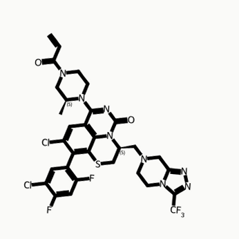 C=CC(=O)N1CCN(c2nc(=O)n3c4c(c(-c5cc(Cl)c(F)cc5F)c(Cl)cc24)SC[C@@H]3CN2CCn3c(nnc3C(F)(F)F)C2)[C@@H](C)C1